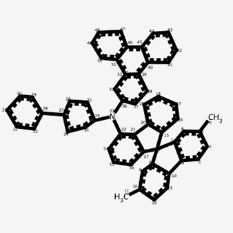 Cc1ccc2c(c1)C1(c3cc(C)ccc3-2)c2ccccc2-c2c(N(c3ccc(-c4ccccc4)cc3)c3ccc4c5ccccc5c5ccccc5c4c3)cccc21